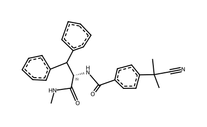 CNC(=O)[C@@H](NC(=O)c1ccc(C(C)(C)C#N)cc1)C(c1ccccc1)c1ccccc1